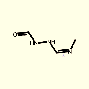 C/N=C\NNC=O